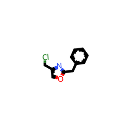 ClCc1coc(Cc2ccccc2)n1